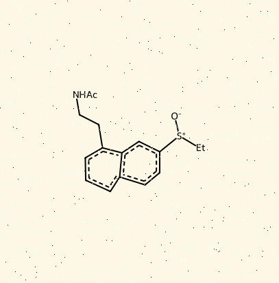 CC[S+]([O-])c1ccc2cccc(CCNC(C)=O)c2c1